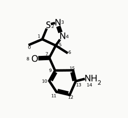 CC1SN=NC1(C)C(=O)c1cccc(N)c1